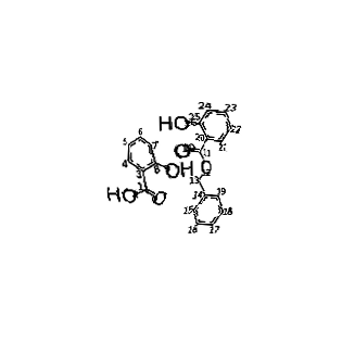 O=C(O)c1ccccc1O.O=C(OCc1ccccc1)c1ccccc1O